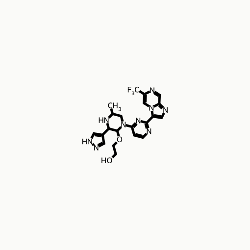 CC1CN(c2ccnc(-c3cnc4cnc(C(F)(F)F)cn34)n2)C(OCCO)C(c2cn[nH]c2)N1